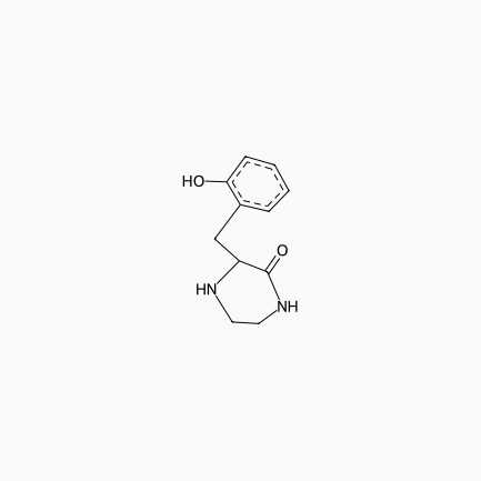 O=C1NCCNC1Cc1ccccc1O